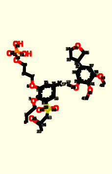 CCCOc1c(OCCCOP(=O)(O)O)c[c]([K])cc1S(=O)(=O)CC(C)=O.COc1cc([C@@H]2CCOC2)cc(OC)c1OC